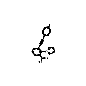 O=C(O)c1cccc(C#Cc2ccc(F)cc2)c1-n1cccc1